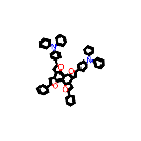 c1ccc(-c2cc3c4cc(-c5ccc(N(c6ccccc6)c6ccccc6)cc5)oc4c4c5oc(-c6ccc(N(c7ccccc7)c7ccccc7)cc6)cc5c5cc(-c6ccccc6)oc5c4c3o2)cc1